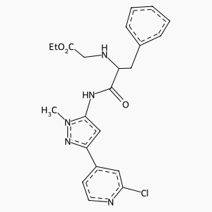 CCOC(=O)CNC(Cc1ccccc1)C(=O)Nc1cc(-c2ccnc(Cl)c2)nn1C